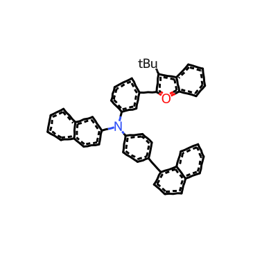 CC(C)(C)c1c(-c2cccc(N(c3ccc(-c4cccc5ccccc45)cc3)c3ccc4ccccc4c3)c2)oc2ccccc12